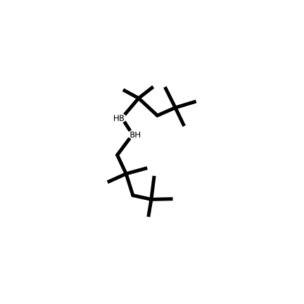 CC(C)(C)CC(C)(C)BBCC(C)(C)CC(C)(C)C